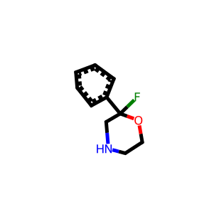 FC1(c2ccccc2)CNCCO1